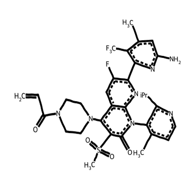 C=CC(=O)N1CCN(c2c(S(C)(=O)=O)c(=O)n(-c3c(C)ccnc3C(C)C)c3nc(-c4nc(N)cc(C)c4C(F)(F)F)c(F)cc23)CC1